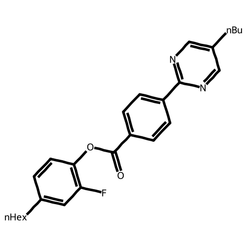 CCCCCCc1ccc(OC(=O)c2ccc(-c3ncc(CCCC)cn3)cc2)c(F)c1